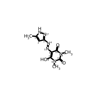 Cc1cc(N=Nc2c(O)n(C)c(=O)n(C)c2=O)n[nH]1